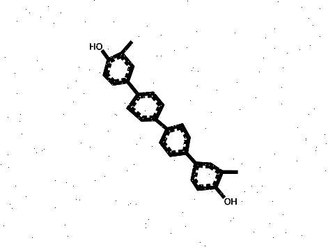 Cc1cc(-c2ccc(-c3ccc(-c4ccc(O)c(C)c4)cc3)cc2)ccc1O